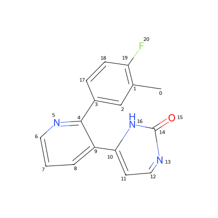 Cc1cc(-c2ncccc2-c2ccnc(=O)[nH]2)ccc1F